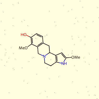 COc1cc2c([nH]1)CCN1Cc3c(ccc(O)c3OC)CC21